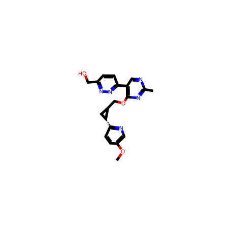 COc1ccc([C@@H]2CC2COc2nc(C)ncc2-c2ccc(CO)nn2)nc1